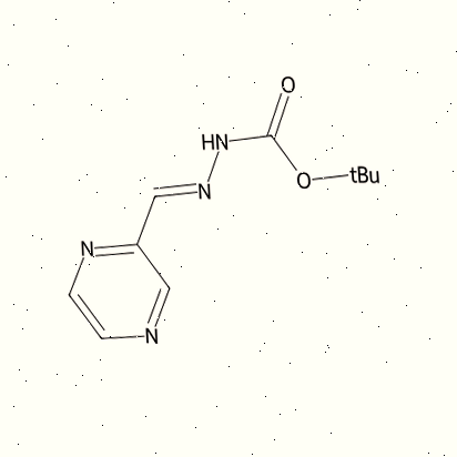 CC(C)(C)OC(=O)NN=Cc1cnccn1